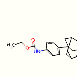 CCOC(=O)Nc1ccc(C23CC4CC(CC(C4)C2)C3)cc1